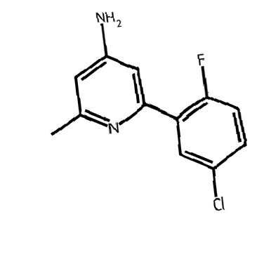 Cc1cc(N)cc(-c2cc(Cl)ccc2F)n1